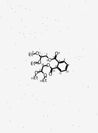 CCOC(COC(=O)c1ccccc1C(=O)OCC(OCC)OCC)OCC